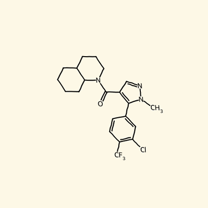 Cn1ncc(C(=O)N2CCCC3CCCCC32)c1-c1ccc(C(F)(F)F)c(Cl)c1